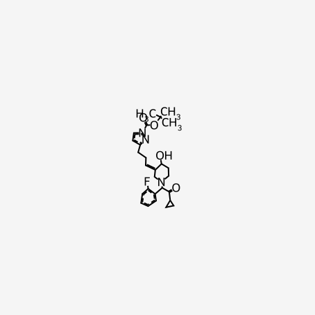 CC(C)(C)OC(=O)n1ccc(CCC=C2CN(C(C(=O)C3CC3)c3ccccc3F)CCC2O)n1